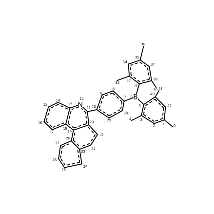 Cc1cc(C)c(B(c2ccc(-c3nc4ccccc4c4c3ccc3ccccc34)cc2)c2c(C)cc(C)cc2C)c(C)c1